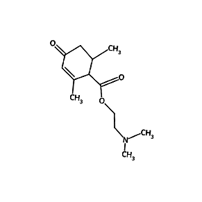 CC1=CC(=O)CC(C)C1C(=O)OCCN(C)C